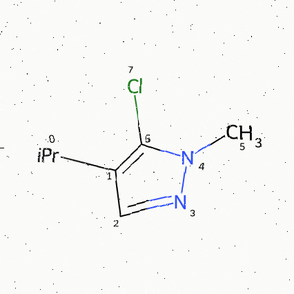 CC(C)c1cnn(C)c1Cl